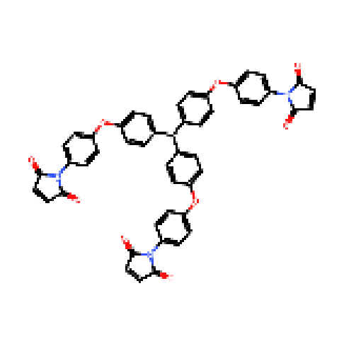 O=C1C=CC(=O)N1c1ccc(Oc2ccc(C(c3ccc(Oc4ccc(N5C(=O)C=CC5=O)cc4)cc3)c3ccc(Oc4ccc(N5C(=O)C=CC5=O)cc4)cc3)cc2)cc1